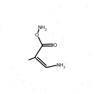 CC(=CN)C(=O)ON